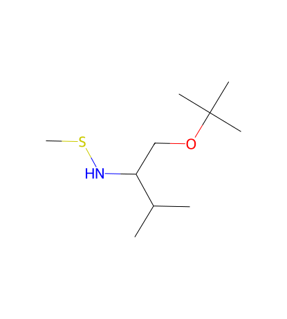 CSNC(COC(C)(C)C)C(C)C